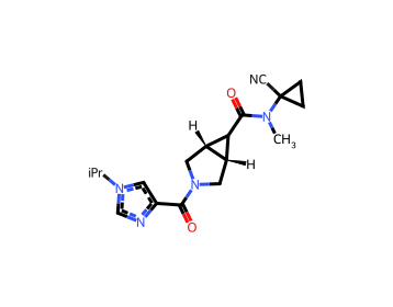 CC(C)n1cnc(C(=O)N2C[C@@H]3C(C(=O)N(C)C4(C#N)CC4)[C@@H]3C2)c1